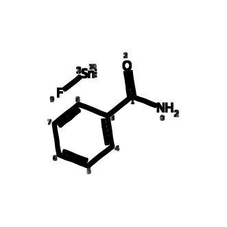 NC(=O)c1ccccc1.[F][3Sn]